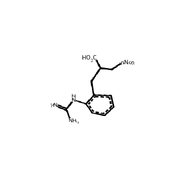 CCCCCCCCCCC(Cc1ccccc1NC(=N)N)C(=O)O